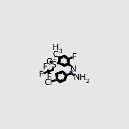 Cc1cc(F)c(/N=C(/N)c2ccc(Cl)cc2)cc1[S+]([O-])CC(F)(F)F